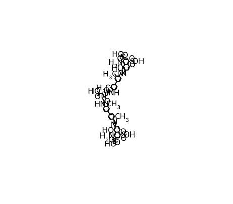 Cc1cc(-c2ccc(NC(=O)CN(CC(=O)O)CC(=O)Nc3ccc(-c4ccc(N=Nc5ccc6c(S(=O)(=O)O)cc(S(=O)(=O)O)c(N)c6c5O)c(C)c4)cc3C)c(C)c2)ccc1N=Nc1ccc2c(S(=O)(=O)O)cc(S(=O)(=O)O)c(N)c2c1O